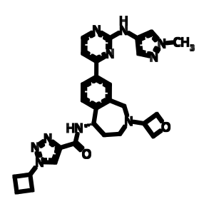 Cn1cc(Nc2nccc(-c3ccc4c(c3)CN(C3COC3)CC[C@@H]4NC(=O)c3cn(C4CCC4)nn3)n2)cn1